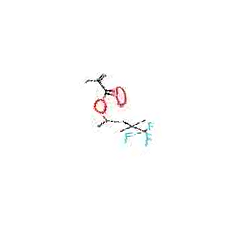 C=C(C)C(=O)OC(C)CC(C)(C)C(F)(F)F